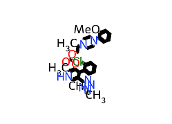 COc1ccccc1N1CCN(C(C)COC(=O)OC2=C(C)NC(C)=C(c3nnn(C)n3)C2c2ccccc2Cl)CC1